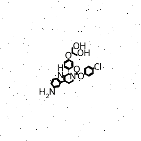 Nc1ccc2[nH]c3c(c2c1)CCN(C(=O)Oc1ccc(Cl)cc1)[C@H]3c1ccc(OC(CO)CO)cc1